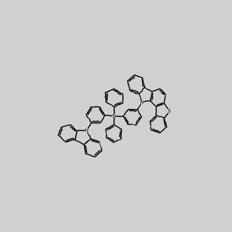 c1ccc([Si](c2ccccc2)(c2cccc(-n3c4ccccc4c4ccccc43)c2)c2cccc(-n3c4ccccc4c4ccc5sc6ccccc6c5c43)c2)cc1